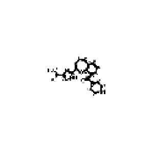 CC(C)c1n[nH]c(C2CCCc3cccc(C(=O)N4CCNCC4)c3O2)n1